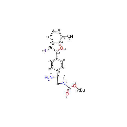 CC(C)(C)OC(=O)N1CC(N)(c2ccc(-c3oc4c(C#N)cccc4c3I)cc2)C1